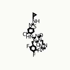 Cn1cnc(Cn2c(=O)nc(Nc3cc4sc(NCC5CC5)nc4cc3Cl)n(Cc3cc(F)c(F)cc3F)c2=O)n1